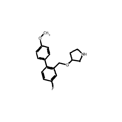 COc1ccc(-c2ccc(F)cc2COC2CCNC2)cc1